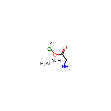 NCC(=O)OCl.[AlH3].[NaH].[Zr]